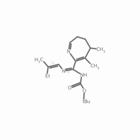 CC/C(C)=C\N=C(\NC(=O)OC(C)(C)C)C1=C(C)C(C)CCC=N1